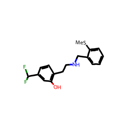 CSc1ccccc1CNCCc1ccc(C(F)F)cc1O